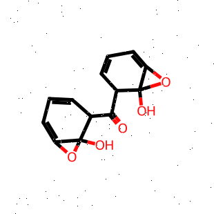 O=C(C1C=CC=C2OC21O)C1C=CC=C2OC21O